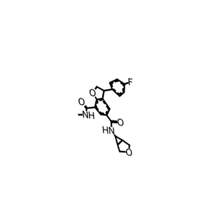 CNC(=O)c1cc(C(=O)NC2C3COCC32)cc2c1OCC2c1ccc(F)cc1